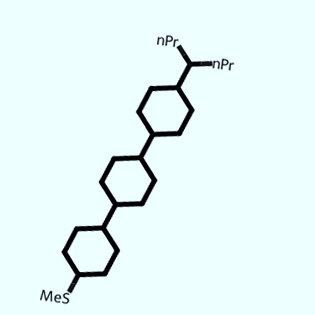 CCCC(CCC)C1CCC(C2CCC(C3CCC(SC)CC3)CC2)CC1